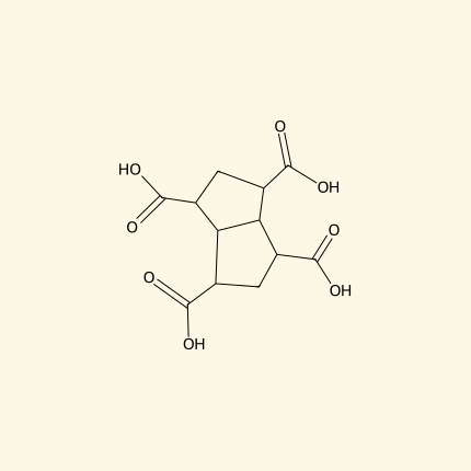 O=C(O)C1CC(C(=O)O)C2C(C(=O)O)CC(C(=O)O)C12